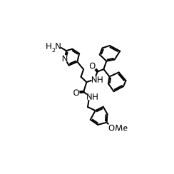 COc1ccc(CNC(=O)C(CCc2ccc(N)nc2)NC(=O)C(c2ccccc2)c2ccccc2)cc1